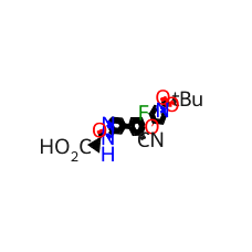 CC(C)(C)OC(=O)N1CC[C@H](Oc2ccc(-c3ccnc(NC(=O)[C@@H]4C[C@H]4C(=O)O)c3)cc2C#N)[C@H](F)C1